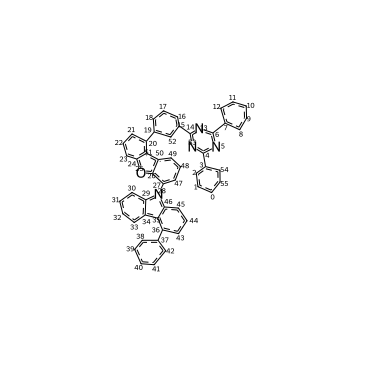 c1ccc(-c2nc(-c3ccccc3)nc(-c3cccc(-c4cccc5oc6c(-n7c8ccccc8c8c(-c9ccccc9)cccc87)cccc6c45)c3)n2)cc1